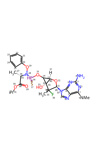 CNc1nc(N)nc2c1ncn2[C@@H]1O[C@@H]2C(O[PH](=S)N(Oc3ccccc3)[C@@H](C)C(=O)OC(C)C)[C@]2(O)[C@@]1(C)F